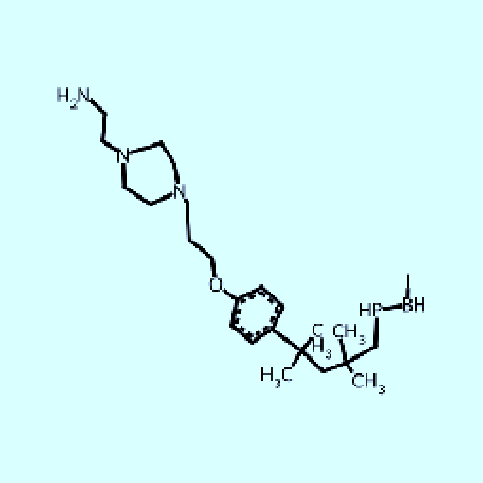 CC(C)(CPBI)CC(C)(C)c1ccc(OCCCN2CCN(CCN)CC2)cc1